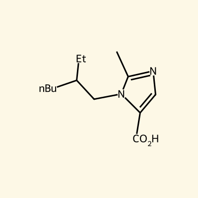 CCCCC(CC)Cn1c(C(=O)O)cnc1C